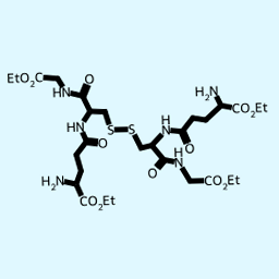 CCOC(=O)CNC(=O)C(CSSCC(NC(=O)CCC(N)C(=O)OCC)C(=O)NCC(=O)OCC)NC(=O)CCC(N)C(=O)OCC